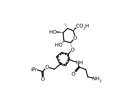 CC(C)C(=O)OCc1ccc(O[C@H]2O[C@H](C(=O)O)[C@@H](C)[C@H](O)[C@H]2O)c(NC(=O)CCN)c1